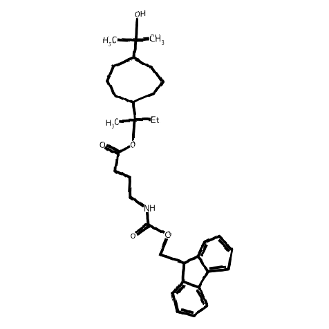 CCC(C)(OC(=O)CCCNC(=O)OCC1c2ccccc2-c2ccccc21)C1CCCC(C(C)(C)O)CCC1